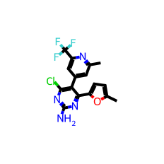 Cc1cc(-c2c(Cl)nc(N)nc2-c2ccc(C)o2)cc(C(F)(F)F)n1